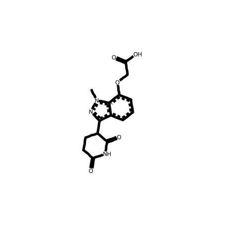 Cn1nc(C2CCC(=O)NC2=O)c2cccc(OCC(=O)O)c21